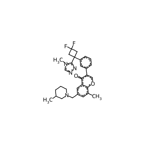 Cc1cc(CN2CCCC(C)C2)cc2c(=O)c(-c3cccc(C4(c5nncn5C)CC(F)(F)C4)c3)coc12